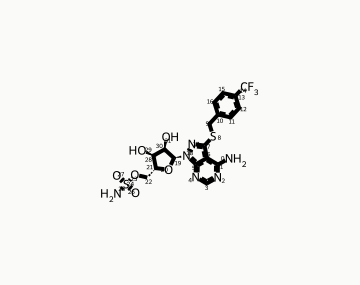 Nc1ncnc2c1c(SCc1ccc(C(F)(F)F)cc1)nn2[C@@H]1O[C@H](COS(N)(=O)=O)[C@@H](O)[C@H]1O